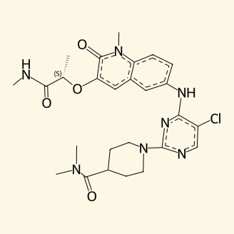 CNC(=O)[C@H](C)Oc1cc2cc(Nc3nc(N4CCC(C(=O)N(C)C)CC4)ncc3Cl)ccc2n(C)c1=O